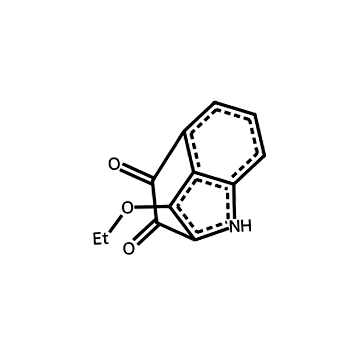 CCOc1c2[nH]c3cccc(c13)C(=O)C2=O